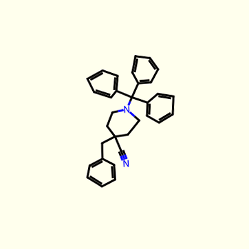 N#CC1(Cc2ccccc2)CCN(C(c2ccccc2)(c2ccccc2)c2ccccc2)CC1